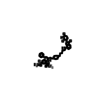 NS(=O)(=O)c1ccc(N[C@H](CCN2CCN(CCCCCNc3cccc4c3CN(C3CCC(=O)NC3=O)C4=O)CC2)CSc2ccccc2)c(S(=O)(=O)C(F)(F)F)c1